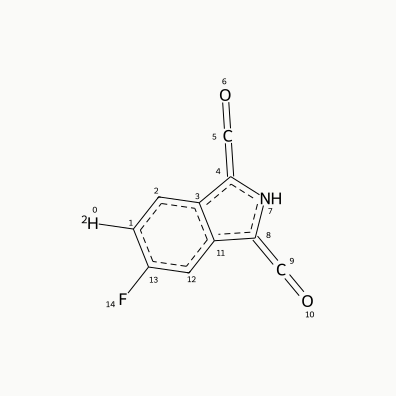 [2H]c1cc2c(=C=O)[nH]c(=C=O)c2cc1F